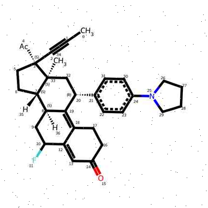 CC#C[C@]1(C(C)=O)CC[C@H]2[C@@H]3CC(F)C4=CC(=O)CCC4=C3[C@@H](c3ccc(N4CCCC4)cc3)C[C@@]21C